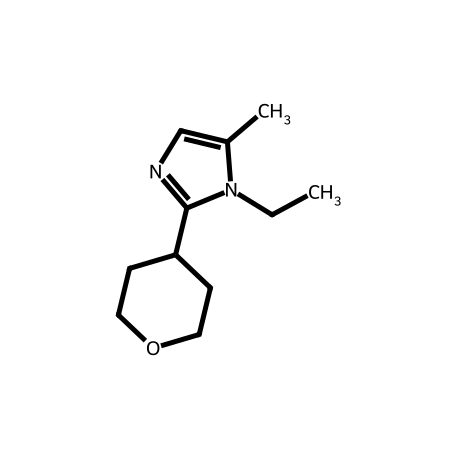 CCn1c(C)cnc1C1CCOCC1